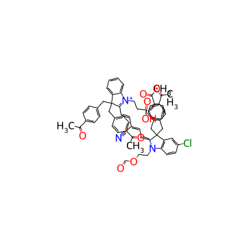 CC(=O)c1ccc(CC2(Cc3ccc(C(C)=O)cc3)C(/C=C/C(C#N)=C/C=C3/N(CCOC=O)c4ccc(Cl)cc4C3(Cc3ccc(C(C)=O)cc3)Cc3ccc(C(C)=O)cc3)=[N+](CCC(=O)O)c3ccccc32)cc1